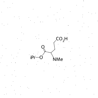 CNC(CCC(=O)O)C(=O)OC(C)C